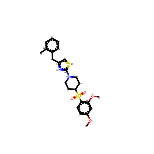 COc1ccc(S(=O)(=O)C2CCN(c3nc(Cc4ccccc4C)cs3)CC2)c(OC)c1